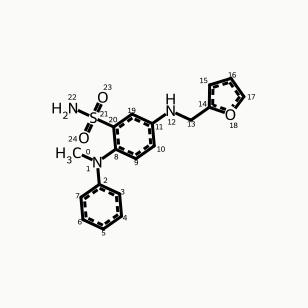 CN(c1ccccc1)c1ccc(NCc2ccco2)cc1S(N)(=O)=O